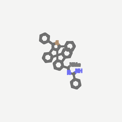 CN/C(=N\C(=N)c1ccccc1)c1cccc2c1-c1ccccc1C21c2ccccc2-c2c(-c3ccccc3)sc(-c3ccccc3)c21